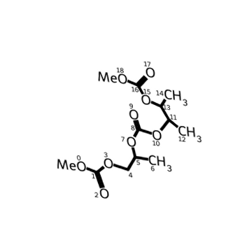 COC(=O)OCC(C)OC(=O)OC(C)C(C)OC(=O)OC